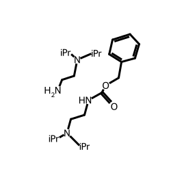 CC(C)N(CCN)C(C)C.CC(C)N(CCNC(=O)OCc1ccccc1)C(C)C